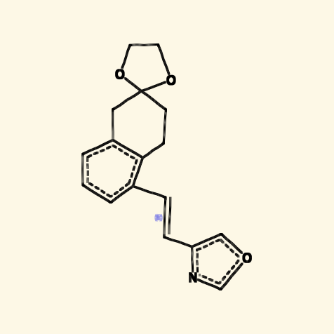 C(=C\c1cccc2c1CCC1(C2)OCCO1)/c1cocn1